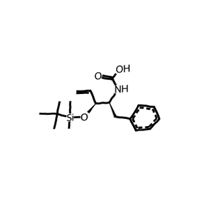 C=C[C@H](O[Si](C)(C)C(C)(C)C)[C@H](Cc1ccccc1)NC(=O)O